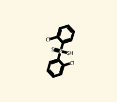 S=P(S)(c1ccccc1Cl)c1ccccc1Cl